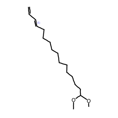 C=C/C=C/CCCCCCCCCCCC(OC)OC